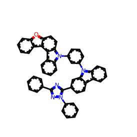 c1ccc(-c2nc(-c3ccc4c5ccccc5n(-c5cccc(-n6c7ccccc7c7c8c(ccc76)oc6ccccc68)c5)c4c3)n(-c3ccccc3)n2)cc1